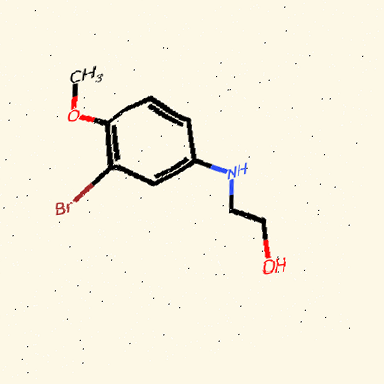 COc1ccc(NCCO)cc1Br